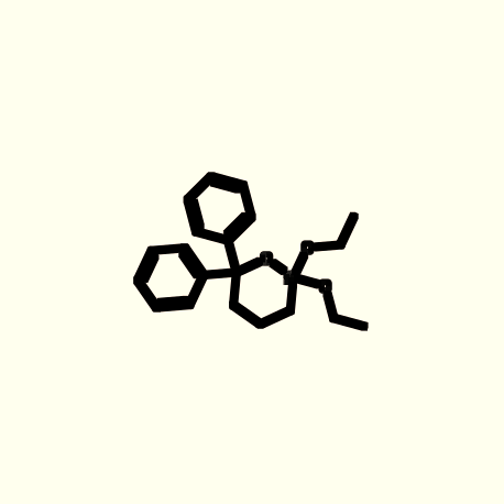 CCO[Si]1(OCC)CCCC(c2ccccc2)(c2ccccc2)O1